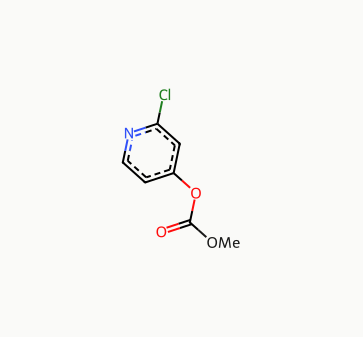 COC(=O)Oc1ccnc(Cl)c1